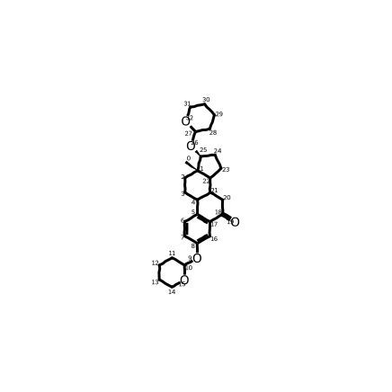 C[C@]12CCC3c4ccc(OC5CCCCO5)cc4C(=O)CC3C1CC[C@@H]2OC1CCCCO1